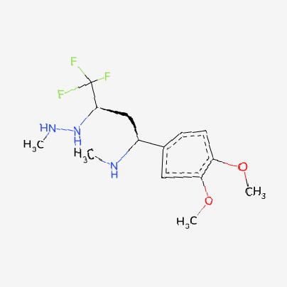 CNN[C@H](C[C@H](NC)c1ccc(OC)c(OC)c1)C(F)(F)F